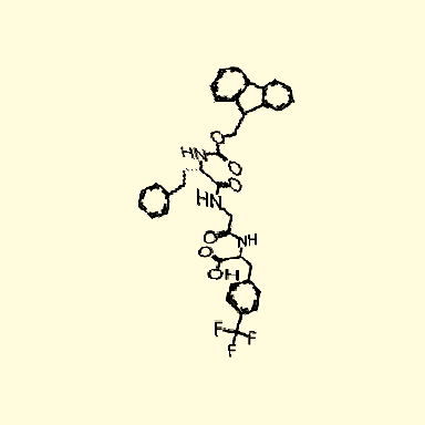 O=C(CNC(=O)[C@H](CCc1ccccc1)NC(=O)OCC1c2ccccc2-c2ccccc21)N[C@@H](Cc1ccc(C(F)(F)F)cc1)C(=O)O